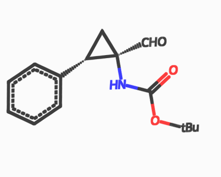 CC(C)(C)OC(=O)N[C@]1(C=O)C[C@H]1c1ccccc1